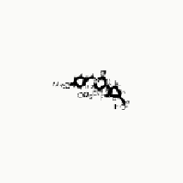 CCOC(=O)[C@H]1CN(Cc2ccc(OC)cc2)C(=O)CC1c1c(F)cc(CO)cc1F